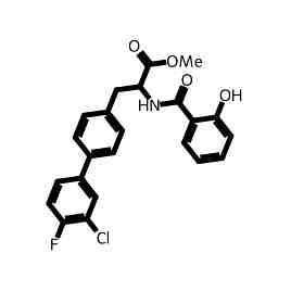 COC(=O)C(Cc1ccc(-c2ccc(F)c(Cl)c2)cc1)NC(=O)c1ccccc1O